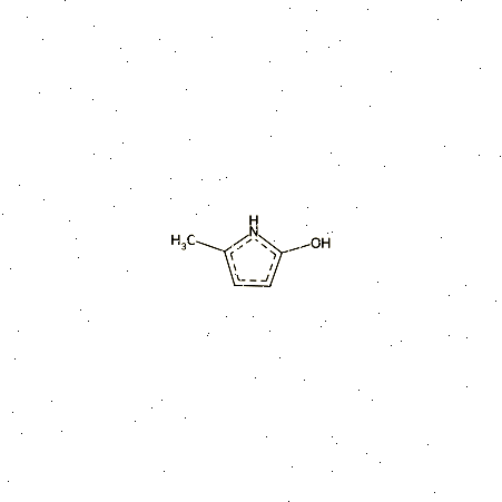 Cc1ccc(O)[nH]1